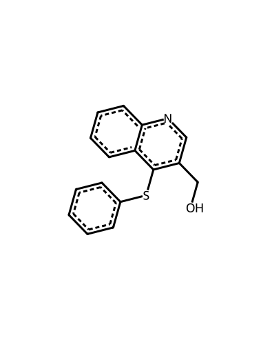 OCc1cnc2ccccc2c1Sc1ccccc1